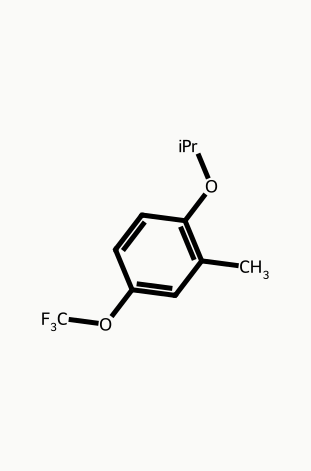 Cc1cc(OC(F)(F)F)ccc1OC(C)C